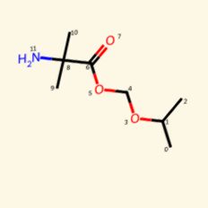 CC(C)OCOC(=O)C(C)(C)N